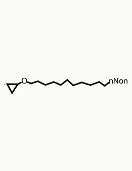 [CH2]CCCCCCCCCCCCCCCCCCCOC1[CH]C1